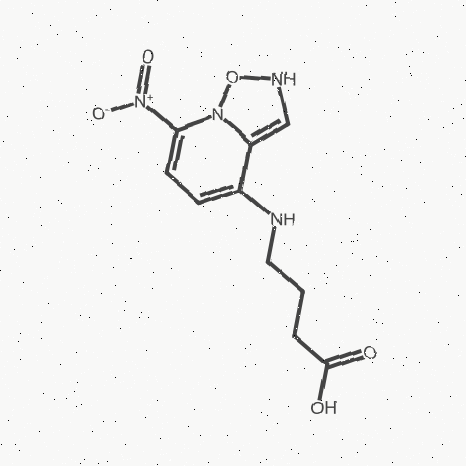 O=C(O)CCCNC1=CC=C([N+](=O)[O-])N2ONC=C12